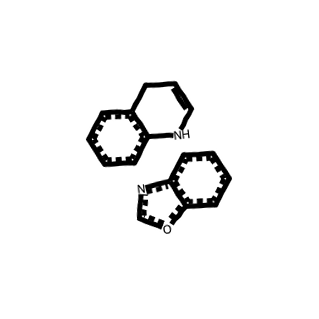 C1=CNc2ccccc2C1.c1ccc2ocnc2c1